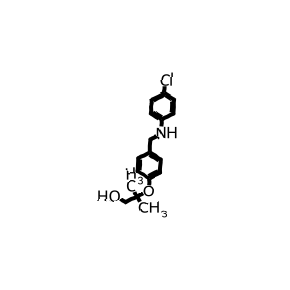 CC(C)(CO)Oc1ccc(CNc2ccc(Cl)cc2)cc1